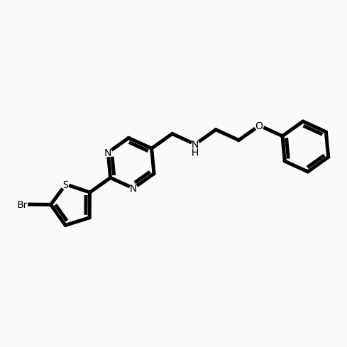 Brc1ccc(-c2ncc(CNCCOc3ccccc3)cn2)s1